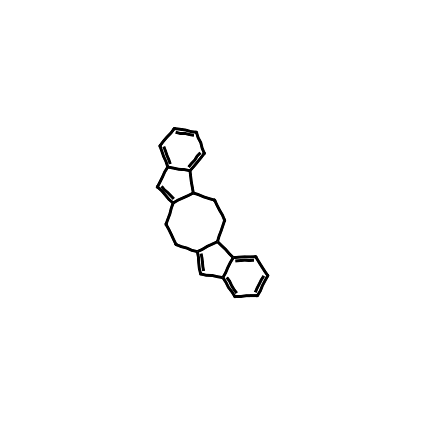 C1=C2CCC3=Cc4ccccc4C3CCC2c2ccccc21